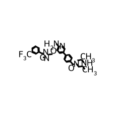 CC1CN(C(=O)c2ccc(-c3cnc(N)c(OCc4noc(-c5cccc(C(F)(F)F)c5)n4)c3)cc2)CC(C)N1